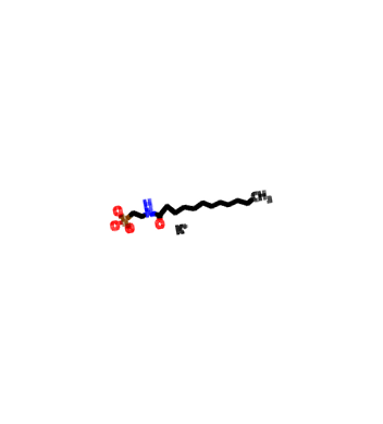 CCCCCCCCCCCC(=O)NCCS(=O)(=O)[O-].[K+]